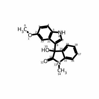 COc1ccc2[nH]cc(C3(O)C(=O)N(C)c4ccccc43)c2c1